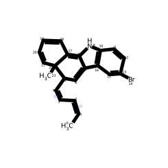 C/C=C\C=C/C1C=c2c([nH]c3ccc(Br)cc23)=C2C=CC=CC21C